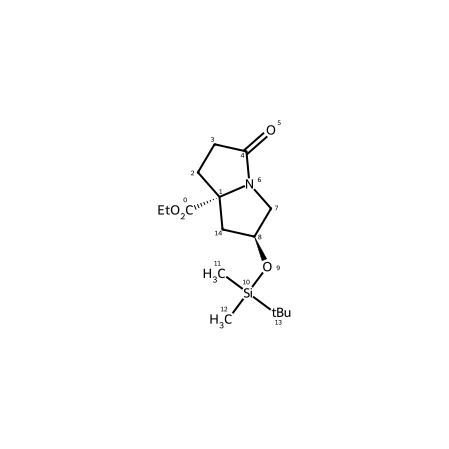 CCOC(=O)[C@]12CCC(=O)N1C[C@@H](O[Si](C)(C)C(C)(C)C)C2